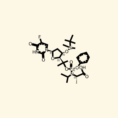 CC(C)N([C@@H](C)C(=O)O)[P@@](=O)(Oc1ccccc1)OC(C)(C)[C@H]1O[C@@H](n2cc(F)c(=O)[nH]c2=O)C[C@@H]1O[Si](C)(C)C(C)(C)C